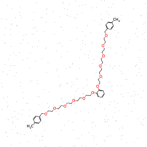 Cc1ccc(COCCOCCOCCOCCOCCOc2ccccc2OCCOCCOCCOCCOCCOCc2ccc(C)cc2)cc1